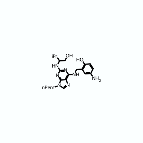 CCCCCn1cnc2c(NCc3cc(N)ccc3O)nc(NC(CO)C(C)C)nc21